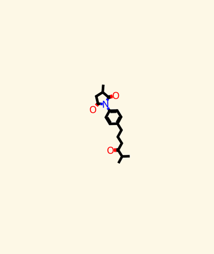 CC(C)C(=O)CCCc1ccc(N2C(=O)CC(C)C2=O)cc1